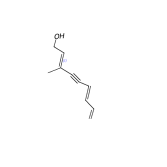 C=CC=CC#C/C(C)=C/CO